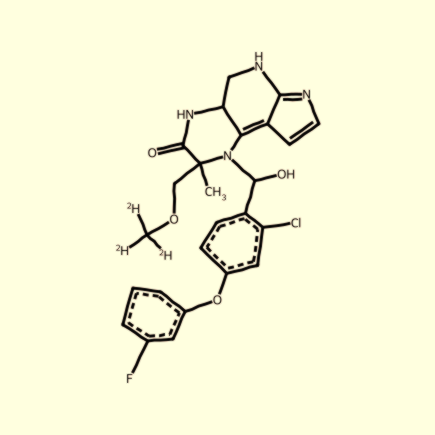 [2H]C([2H])([2H])OCC1(C)C(=O)NC2CNC3=NC=CC3=C2N1C(O)c1ccc(Oc2cccc(F)c2)cc1Cl